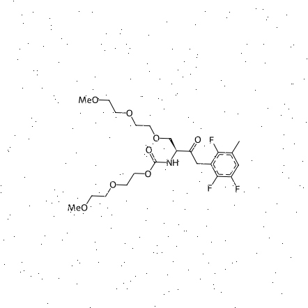 COCCOCCOC[C@H](NC(=O)OCCOCCOC)C(=O)Cc1c(F)c(C)cc(F)c1F